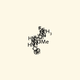 COc1nc(NC2CCC3(CC2)OCCO3)nc2[nH]cc(-c3ccc4nc(C)n(CC(F)F)c4c3)c12